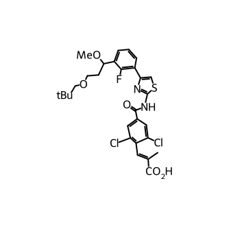 COC(CCOCC(C)(C)C)c1cccc(-c2csc(NC(=O)c3cc(Cl)c(/C=C(\C)C(=O)O)c(Cl)c3)n2)c1F